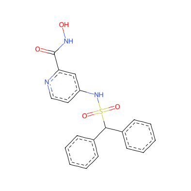 O=C(NO)c1cc(NS(=O)(=O)C(c2ccccc2)c2ccccc2)ccn1